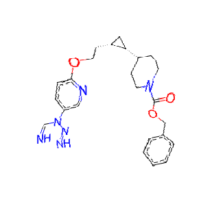 N=CN(N=N)c1ccc(OCC[C@@H]2C[C@@H]2C2CCN(C(=O)OCc3ccccc3)CC2)nc1